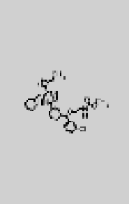 CCC1COC1C(O)C(CC1CCCCC1)NC(=O)N1CCCC(C(OCCNC(=O)OC)c2cccc(Cl)c2)C1